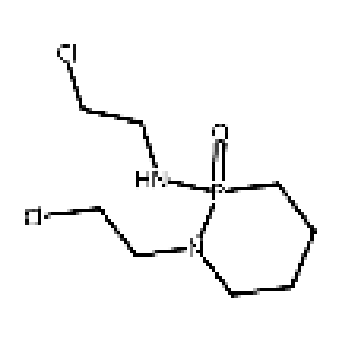 O=P1(NCCCl)CCCCN1CCCl